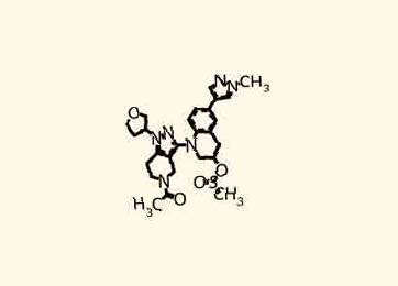 CC(=O)N1CCc2c(c(N3CC(OS(C)=O)Cc4cc(-c5cnn(C)c5)ccc43)nn2C2CCOC2)C1